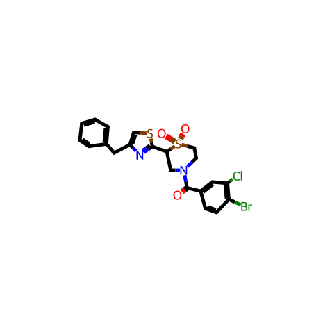 O=C(c1ccc(Br)c(Cl)c1)N1CCS(=O)(=O)C(c2nc(Cc3ccccc3)cs2)C1